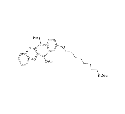 CCCCCCCCCCCCCCCCCCOc1ccc2c(OC(C)=O)c3cc4ccccc4cc3c(OC(C)=O)c2c1